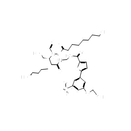 CCCCCCCCC(=O)ON(C=O)[C@H](CC)[C@@H](CCCCC)C(=O)NCNC(=O)c1ccc(-c2cc(OCC)cc(P(=O)(O)O)c2)o1